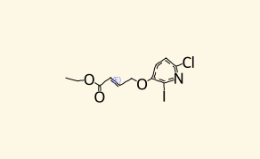 CCOC(=O)/C=C/COc1ccc(Cl)nc1I